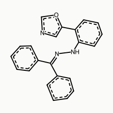 c1ccc(C(=NNc2ccccc2-c2cnco2)c2ccccc2)cc1